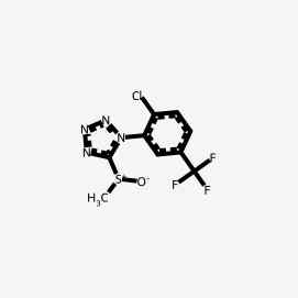 C[S+]([O-])c1nnnn1-c1cc(C(F)(F)F)ccc1Cl